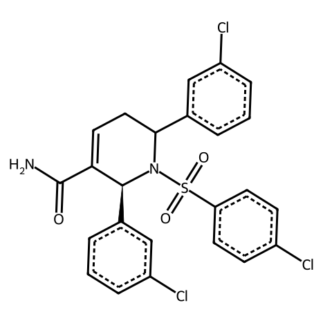 NC(=O)C1=CCC(c2cccc(Cl)c2)N(S(=O)(=O)c2ccc(Cl)cc2)[C@H]1c1cccc(Cl)c1